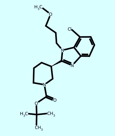 COCCCn1c([C@@H]2CCCN(C(=O)OC(C)(C)C)C2)nc2cccc(Cl)c21